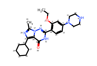 CCOc1cc(N2CCNCC2)ccc1-c1nn2c(C)nc(C3CCCCC3)c2c(=O)[nH]1